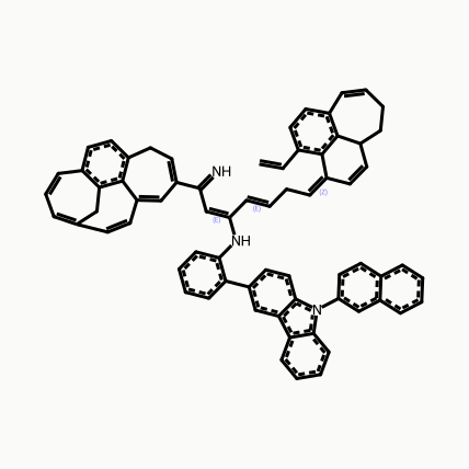 C=Cc1ccc2c3c1/C(=C\C/C=C/C(=C\C(=N)C1=CCc4ccc5c6c4C(=C1)C=CC(=CC=C5)C6)Nc1ccccc1-c1ccc4c(c1)c1ccccc1n4-c1ccc4ccccc4c1)C=CC3CCC=C2